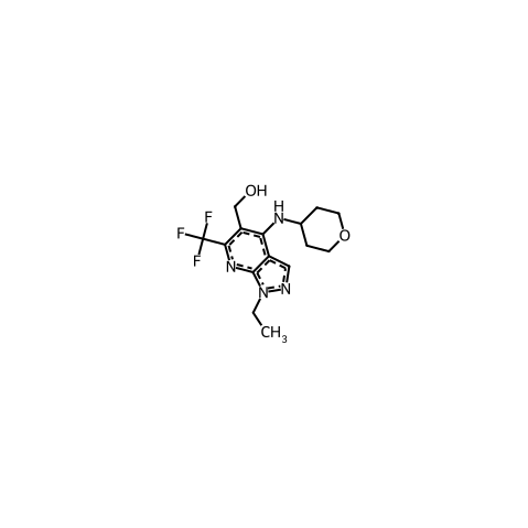 CCn1ncc2c(NC3CCOCC3)c(CO)c(C(F)(F)F)nc21